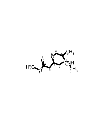 CNN1CC(CC(=O)OC)OCC1C